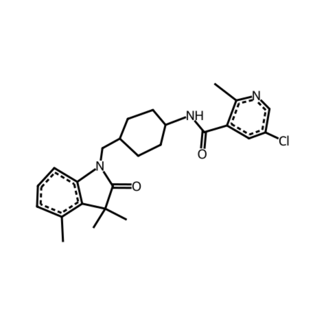 Cc1cccc2c1C(C)(C)C(=O)N2CC1CCC(NC(=O)c2cc(Cl)cnc2C)CC1